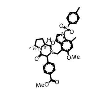 COC(=O)c1ccc(C2C(=O)N3[C@H](C)CC[C@H]3C(=O)N2Cc2c(OC)cc(C)c3c2ccn3S(=O)(=O)c2ccc(C)cc2)cc1